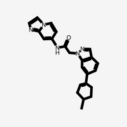 CC1CC=C(c2ccc3cnn(CC(=O)Nc4ccn5ccnc5c4)c3c2)CC1